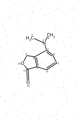 CN(C)c1cccc2c1COC2=O